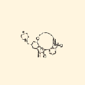 O=c1[nH]c2cc(CN3CCSCC3)cc3c2nc1-c1cccc2c(=O)n([nH]c12)CCCCCO3